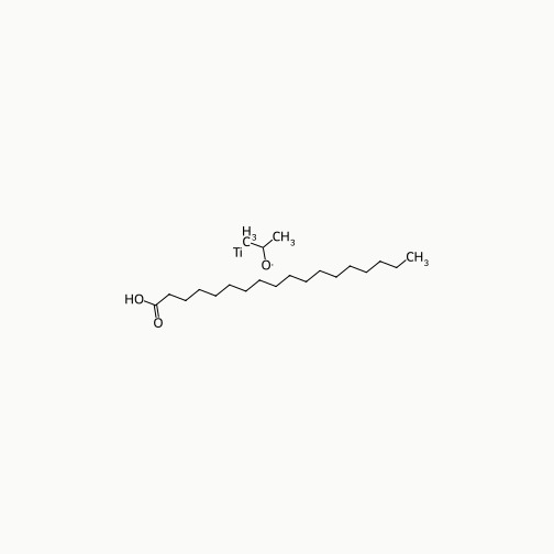 CC(C)[O].CCCCCCCCCCCCCCCCCC(=O)O.[Ti]